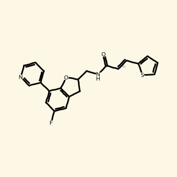 O=C(/C=C/c1cccs1)NCC1Cc2cc(F)cc(-c3cccnc3)c2O1